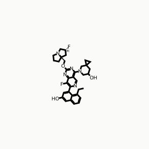 CCc1cccc2cc(O)cc(-c3ncc4c(N5CC(O)CC6(CC6)C5)nc(OC[C@@]56CCCN5C[C@H](F)C6)nc4c3F)c12